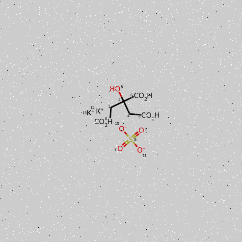 O=C(O)CC(O)(CC(=O)O)C(=O)O.O=S(=O)([O-])[O-].[K+].[K+]